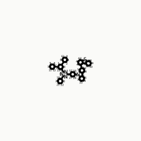 c1ccc(-c2cc(-c3ccccc3)cc(-c3nc(-c4ccccc4)nc(-c4ccc(-n5c6ccccc6c6ccc(-c7cccc8sc9ccccc9c78)cc65)cc4)n3)c2)cc1